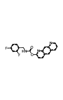 O=C(NCc1ccc(F)cc1F)Oc1ccc2cc3cccnc3cc2n1